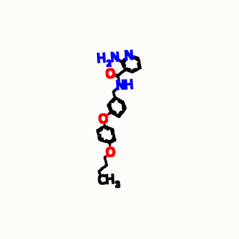 CCCCOc1ccc(Oc2cccc(CNC(=O)c3cccnc3N)c2)cc1